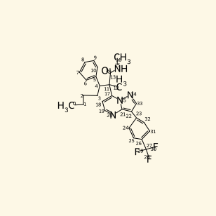 CCCCC(c1ccccc1)C(C)(C(=O)NC)c1ccnc2c(-c3ccc(C(F)(F)F)cc3)cnn12